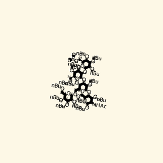 CCCCOCC1O[C@H](OCC2O[C@@H](O[C@H]3C(COCCCC)O[C@@H](OCCCC)C(NC(C)=O)[C@@H]3OCCCC)C(OCCCC)[C@@H](O[C@H]3O[C@@H](COCCCC)[C@@H](OCCCC)C(OCCCC)C3O[C@H]3O[C@@H](COP(=O)=O)[C@@H](OCCCC)C(OCCCC)C3OCCCC)[C@H]2OCCCC)C(OCCCC)[C@@H](OCCCC)[C@@H]1OCCCC